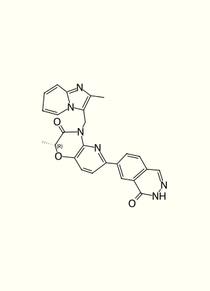 Cc1nc2ccccn2c1CN1C(=O)[C@@H](C)Oc2ccc(-c3ccc4cn[nH]c(=O)c4c3)nc21